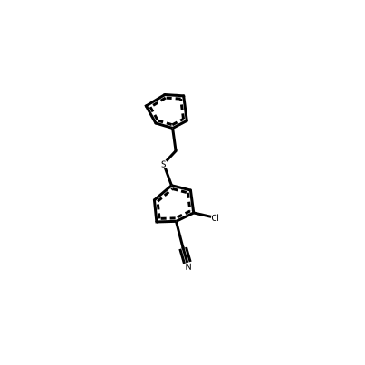 N#Cc1ccc(SCc2ccccc2)cc1Cl